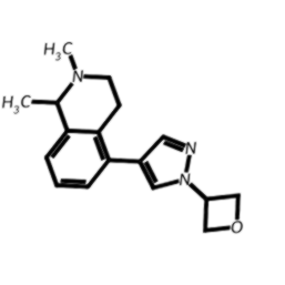 CC1c2cccc(-c3cnn(C4COC4)c3)c2CCN1C